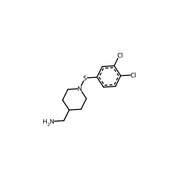 NCC1CCN(Sc2ccc(Cl)c(Cl)c2)CC1